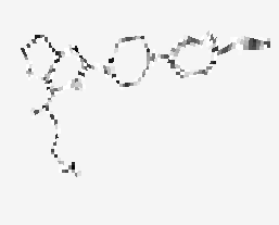 CCCNc1nc(N2CCN(c3ccc(C#N)cc3)CC2)nc2c1SCC2